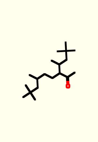 CC(=O)C(CCC(C)CC(C)(C)C)C(C)CC(C)(C)C